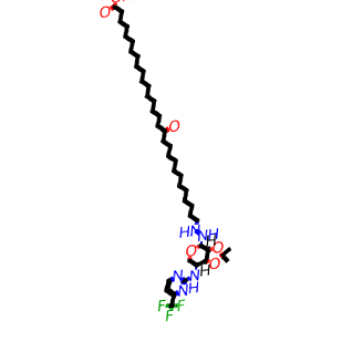 CC1(C)O[C@@H]2[C@H](O1)[C@@H](Nc1nccc(C(F)(F)F)n1)CO[C@H]2NNCCCCCCCCCCCCC(=O)CCCCCCCCCCCCCCCCC(=O)O